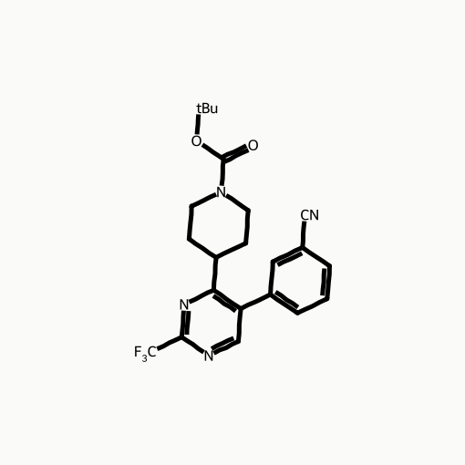 CC(C)(C)OC(=O)N1CCC(c2nc(C(F)(F)F)ncc2-c2cccc(C#N)c2)CC1